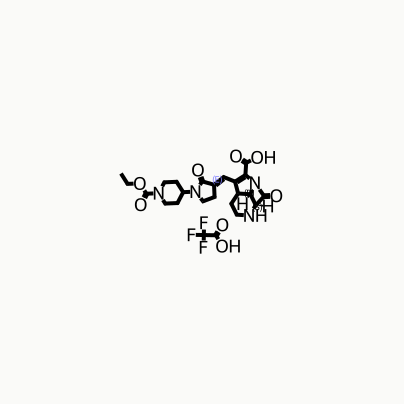 CCOC(=O)N1CCC(N2CC/C(=C\C3=C(C(=O)O)N4C(=O)[C@H]5NCCC3[C@H]54)C2=O)CC1.O=C(O)C(F)(F)F